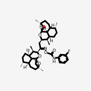 C[C@H]1[C@@H](/C(C[C@H]2O[C@@H]3C[C@]4(C)CC[C@H]5[C@H](C)CC[C@@H]([C@H]2C)[C@@]35OO4)=N\OC(=O)Nc2cccc(F)c2)O[C@@H]2C[C@]3(C)CC[C@H]4[C@H](C)CC[C@@H]1[C@@]24OO3